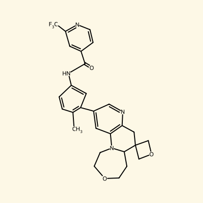 Cc1ccc(NC(=O)c2ccnc(C(F)(F)F)c2)cc1-c1cnc2c(c1)N1CCOCCC1C1(COC1)C2